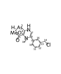 COC(=O)C1=C([AsH2])NC=C(c2cccc(CCl)c2)N1C